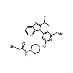 CSc1nc(O[C@H]2CC[C@H](NC(=O)OC(C)(C)C)CC2)cc(-n2c(C(F)F)nc3ccccc32)n1